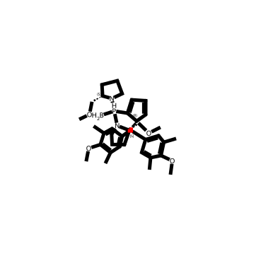 B[PH](C1=CC=C[C@H]1P(c1cc(C)c(OC)c(C)c1)c1cc(C)c(OC)c(C)c1)(N1CCC[C@H]1COC)N1CCC[C@H]1COC